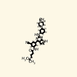 CN(C)C/C=C/C(=O)Nc1cc(C#N)cc(-c2nc(Nc3cccc(N4CCN(C)CC4)c3)nc3[nH]ncc23)c1